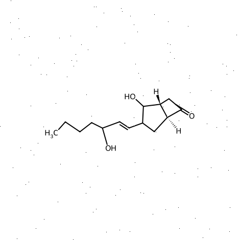 CCCCC(O)C=CC1C[C@@H]2C(=O)C[C@H]2C1O